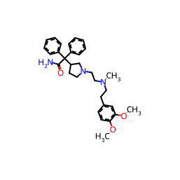 COc1ccc(CCN(C)CCN2CCC(C(C(N)=O)(c3ccccc3)c3ccccc3)C2)cc1OC